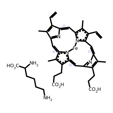 C=CC1=C(C)C2=NC/1=C\c1c(C)c(C=C)c3[n]1[Fe][n]1/c(c(C)c(CCC(=O)O)/c1=C/C1=NC(=C\3)/C(C)=C1CCC(=O)O)=C\2.NCCCCC(N)C(=O)O